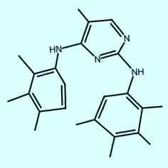 Cc1cnc(Nc2cc(C)c(C)c(C)c2C)nc1Nc1ccc(C)c(C)c1C